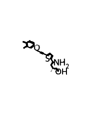 Cc1ccc(OCC#Cc2ccc(C(N)C[C@@H](C)CO)s2)cc1C